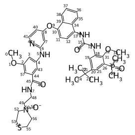 COc1cc(Nc2cc(Oc3ccc(NC(=O)Nc4cc(C(C)(C)C)cc(P(C)(C)=O)c4OC)c4ccccc34)ccn2)cc(C(=O)NCC[N+]2([O-])CCSCC2)c1